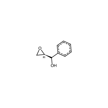 OC(c1ccccc1)[C@H]1CO1